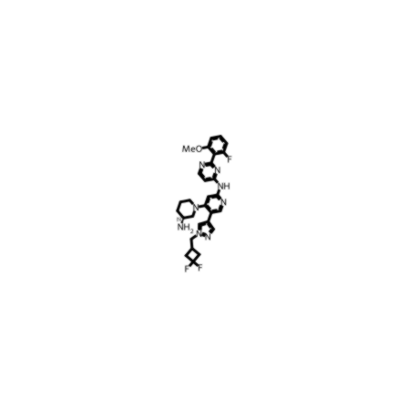 COc1cccc(F)c1-c1nccc(Nc2cc(N3CCC[C@H](N)C3)c(-c3cnn(CC4CC(F)(F)C4)c3)cn2)n1